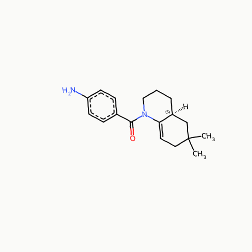 CC1(C)CC=C2[C@@H](CCCN2C(=O)c2ccc(N)cc2)C1